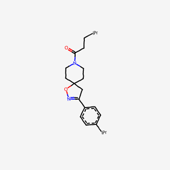 CC(C)CCC(=O)N1CCC2(CC1)CC(c1ccc(C(C)C)cc1)=NO2